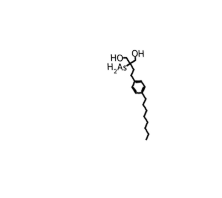 CCCCCCCCc1ccc(CCC([AsH2])(CO)CO)cc1